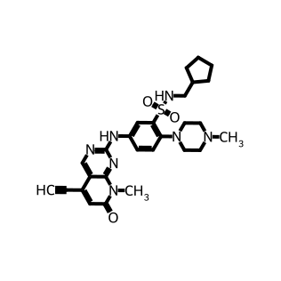 C#Cc1cc(=O)n(C)c2nc(Nc3ccc(N4CCN(C)CC4)c(S(=O)(=O)NCC4CCCC4)c3)ncc12